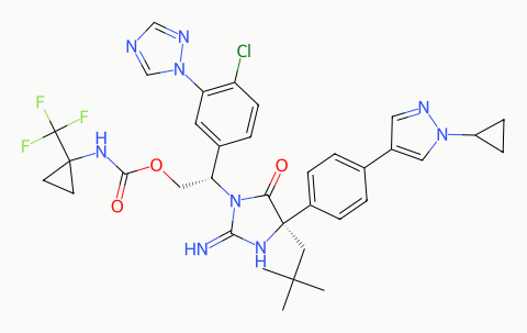 CC(C)(C)C[C@]1(c2ccc(-c3cnn(C4CC4)c3)cc2)NC(=N)N([C@H](COC(=O)NC2(C(F)(F)F)CC2)c2ccc(Cl)c(-n3cncn3)c2)C1=O